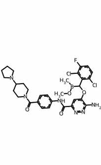 COB(C)C(Oc1cc(C(=O)Nc2ccc(C(=O)N3CCC(N4CCCC4)CC3)cc2)nnc1N)c1c(Cl)ccc(F)c1Cl